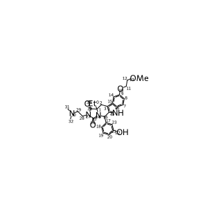 CCC12Cc3c([nH]c4ccc(OCCOC)cc34)C(c3cccc(O)c3)N1C(=O)N(CCN(C)C)C2=O